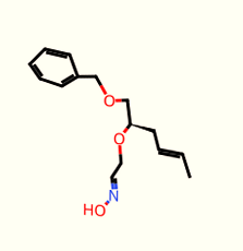 C/C=C/C[C@H](COCc1ccccc1)OCC=NO